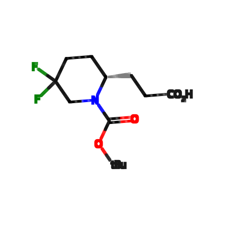 CC(C)(C)OC(=O)N1CC(F)(F)CC[C@@H]1CCC(=O)O